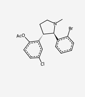 CC(=O)Oc1ccc(Cl)cc1[C@@H]1CCN(C)[C@H]1c1ccccc1Br